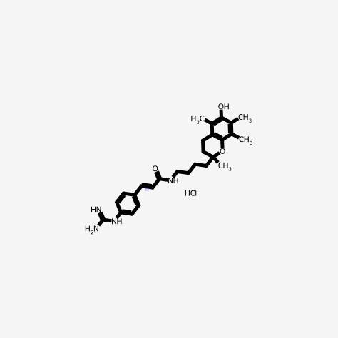 Cc1c(C)c2c(c(C)c1O)CCC(C)(CCCCNC(=O)/C=C/c1ccc(NC(=N)N)cc1)O2.Cl